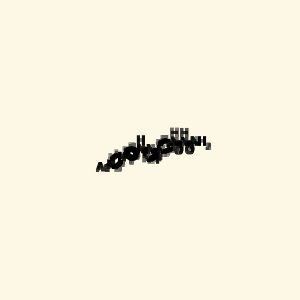 CC(=O)N1CCN(c2ccc(Nc3ncc(F)c(N4CCN(NC(=O)NC(N)=O)CC4)n3)cc2)CC1